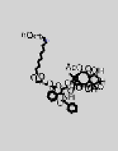 CCCCCCCC/C=C\CCCCCCCC1OC[C@H](COC(=O)O[C@@H](C(=O)O[C@H]2C[C@@]3(O)[C@@H](O)[C@@H]4[C@]5(O)CO[C@@H]5C[C@H](O)[C@@]4(C)C(=O)[C@H](OC(C)=O)C(=C2C)C3(C)C)[C@@H](NC(=O)c2ccccc2)c2ccccc2)O1